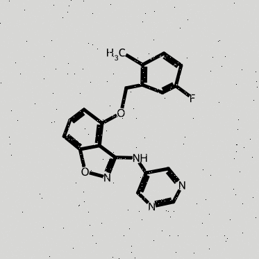 Cc1ccc(F)cc1COc1cccc2onc(Nc3cncnc3)c12